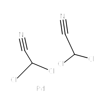 N#CC(Cl)Cl.N#CC(Cl)Cl.[Pd]